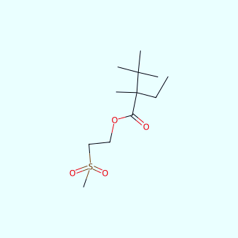 CCC(C)(C(=O)OCCS(C)(=O)=O)C(C)(C)C